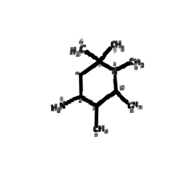 CC1C(N)CC(C)(C)N(C)C1C